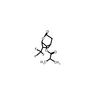 CC(C)C(=O)OC1C2CC(=O)OC1C(C(F)(F)F)C2